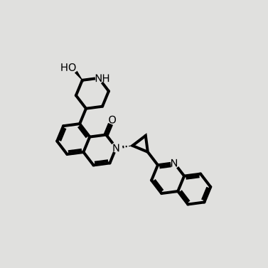 O=c1c2c(C3CCN[C@H](O)C3)cccc2ccn1[C@@H]1CC1c1ccc2ccccc2n1